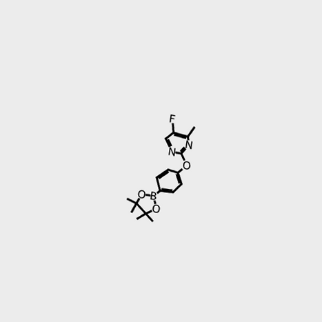 Cc1nc(Oc2ccc(B3OC(C)(C)C(C)(C)O3)cc2)ncc1F